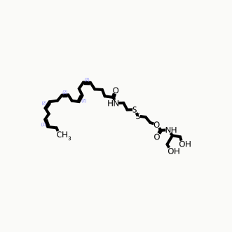 CC/C=C\C/C=C\C/C=C\C/C=C\C/C=C\CCCC(=O)NCCSSCCOC(=O)NC(CO)CO